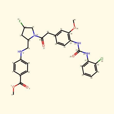 COC(=O)c1ccc(NCC2CC(F)CN2C(=O)Cc2ccc(NC(=O)Nc3ccccc3Cl)c(OC)c2)cc1